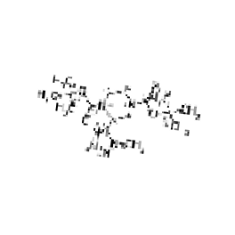 Cn1nnnc1C1CN(C(=O)OC(C)(C)C)CCN1C(=O)OC(C)(C)C